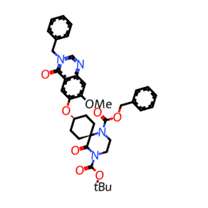 COc1cc2ncn(Cc3ccccc3)c(=O)c2cc1O[C@H]1CC[C@]2(CC1)C(=O)N(C(=O)OC(C)(C)C)CCN2C(=O)OCc1ccccc1